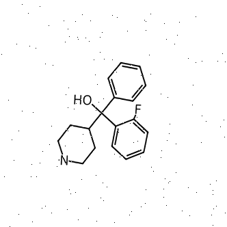 OC(c1ccccc1)(c1ccccc1F)C1CC[N]CC1